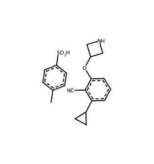 Cc1ccc(S(=O)(=O)O)cc1.N#Cc1c(OC2CNC2)cccc1C1CC1